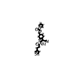 N#Cc1c(NC(=O)C=Cc2ccsc2)sc2c1CCC(COC(=O)N1CC=CC1)C2